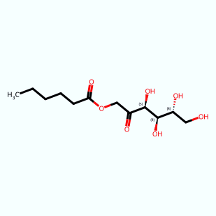 CCCCCC(=O)OCC(=O)[C@@H](O)[C@H](O)[C@H](O)CO